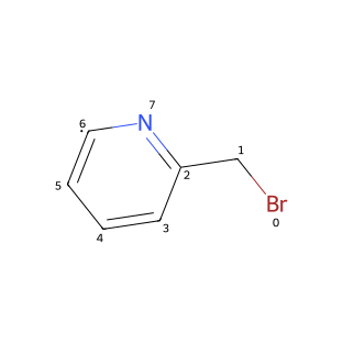 BrCc1ccc[c]n1